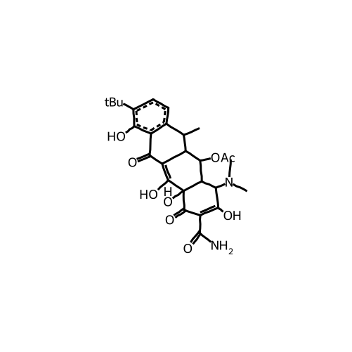 CC(=O)OC1C2C(=C(O)C3(O)C(=O)C(C(N)=O)=C(O)C(N(C)C)C13)C(=O)c1c(ccc(C(C)(C)C)c1O)C2C